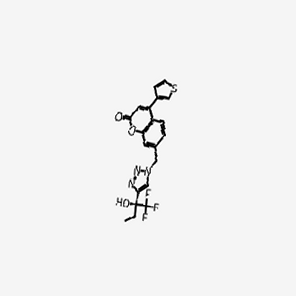 CC[C@](O)(c1cn(Cc2ccc3c(-c4ccsc4)cc(=O)oc3c2)nn1)C(F)(F)F